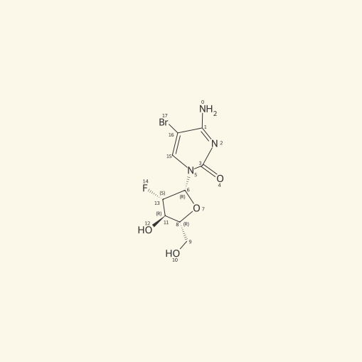 Nc1nc(=O)n([C@@H]2O[C@H](CO)[C@@H](O)[C@@H]2F)cc1Br